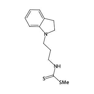 CSC(=S)NCCCN1CCc2ccccc21